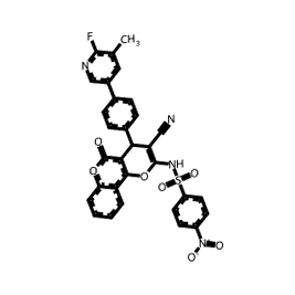 Cc1cc(-c2ccc(C3C(C#N)=C(NS(=O)(=O)c4ccc([N+](=O)[O-])cc4)Oc4c3c(=O)oc3ccccc43)cc2)cnc1F